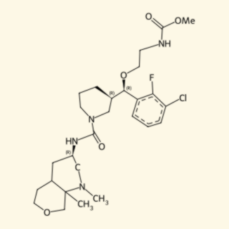 COC(=O)NCCO[C@@H](c1cccc(Cl)c1F)[C@@H]1CCCN(C(=O)N[C@@H]2CC3CCOCC3(C)N(C)C2)C1